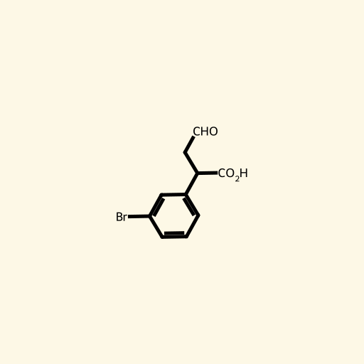 O=CCC(C(=O)O)c1cccc(Br)c1